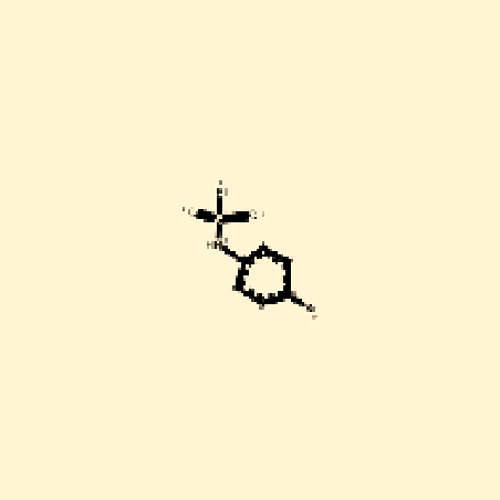 CCS(=O)(=O)Nc1ccc(Br)cc1